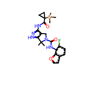 CC1(C)c2[nH]nc(NC(=O)C3(S(C)(C)C)CC3)c2CN1C(=O)Nc1c(F)ccc2ccoc12